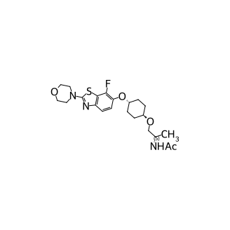 CC(=O)N[C@@H](C)CO[C@H]1CC[C@H](Oc2ccc3nc(N4CCOCC4)sc3c2F)CC1